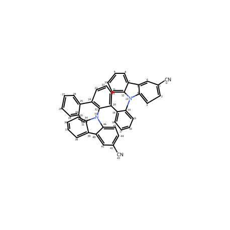 N#Cc1ccc2c(c1)c1ccccc1n2-c1ccccc1-c1cccc(-c2ccccc2C#N)c1-n1c2ccccc2c2cc(C#N)ccc21